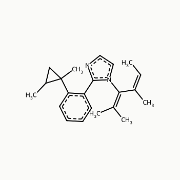 C/C=C(/C)C(=C(C)C)n1ccnc1-c1ccccc1C1(C)CC1C